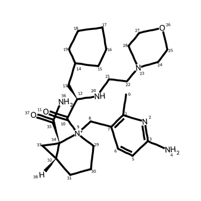 Cc1nc(N)ccc1C[N+]1(C(=O)[C@@H](CC2CCCCC2)NCCN2CCOCC2)CCC[C@@H]2C[C@@]21C(N)=O